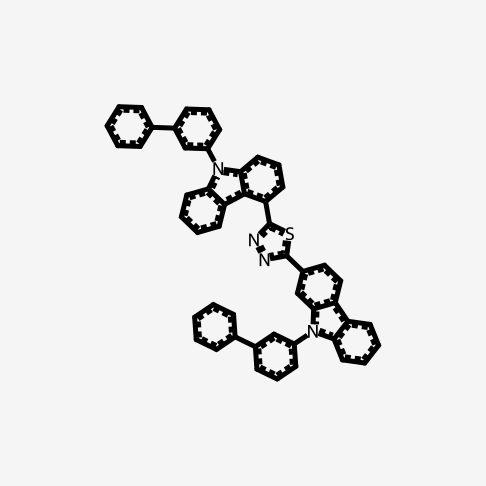 c1ccc(-c2cccc(-n3c4ccccc4c4ccc(-c5nnc(-c6cccc7c6c6ccccc6n7-c6cccc(-c7ccccc7)c6)s5)cc43)c2)cc1